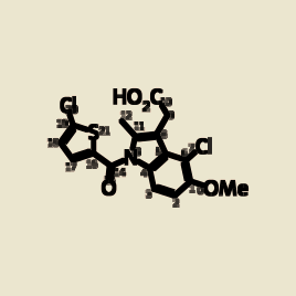 COc1ccc2c(c1Cl)c(CC(=O)O)c(C)n2C(=O)c1ccc(Cl)s1